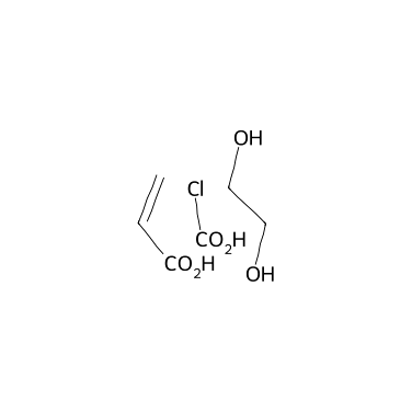 C=CC(=O)O.O=C(O)Cl.OCCO